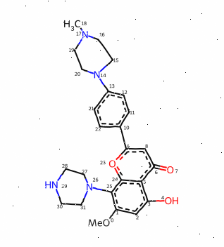 COc1cc(O)c2c(=O)cc(-c3ccc(N4CCN(C)CC4)cc3)oc2c1N1CCNCC1